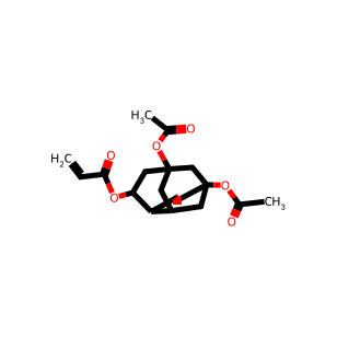 C=CC(=O)OC1CC2(OC(C)=O)CC3CC(OC(C)=O)(CCC31)C2